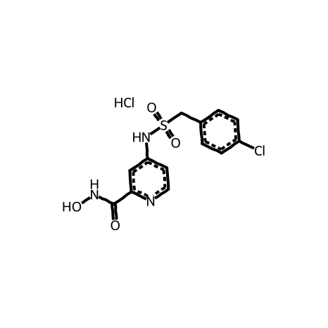 Cl.O=C(NO)c1cc(NS(=O)(=O)Cc2ccc(Cl)cc2)ccn1